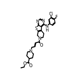 CCOC(=O)C1CCN(C/C=C/C(=O)N2CCc3c(sc4ncnc(Nc5ccc(F)c(Cl)c5)c34)C2)CC1